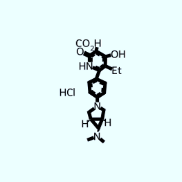 CCc1c(-c2ccc(N3C[C@@H]4[C@H](C3)[C@H]4N(C)C)cc2)[nH]c(=O)c(C(=O)O)c1O.Cl